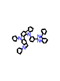 c1ccc(-c2nc(-c3cccc(-n4c5ccccc5c5ccc6c(c7cc8ccn(-c9ccccc9)c8cc7n6-c6ccccc6)c54)c3)nc3ccccc23)cc1